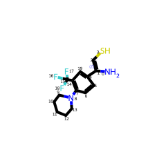 N/C(=C\S)c1ccc(N2CCCCC2)c(C(F)(F)F)c1